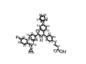 O=C(O)/C=C/Cc1ccc(C(NC(=O)c2ccnc(CN(c3ccc(F)cc3)C3CC3)n2)c2ccc(-n3cccn3)cc2)cc1